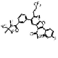 CNC(=O)c1c(-c2ccc(F)cc2)oc2nc(CCC(F)(F)F)c(-c3cccc(C(=O)NC(C)(C#N)C(C)C)c3)cc12